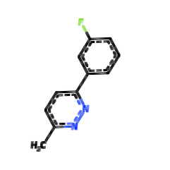 Cc1ccc(-c2cccc(F)c2)nn1